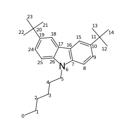 CCCCCCn1c2ccc(C(C)(C)C)cc2c2cc(C(C)(C)C)ccc21